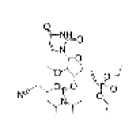 CCOP(=O)(/C=C/[C@H]1O[C@@H](n2ccc(=O)[nH]c2=O)C(OC)[C@H]1OP(OCCC#N)N(C(C)C)C(C)C)OCC